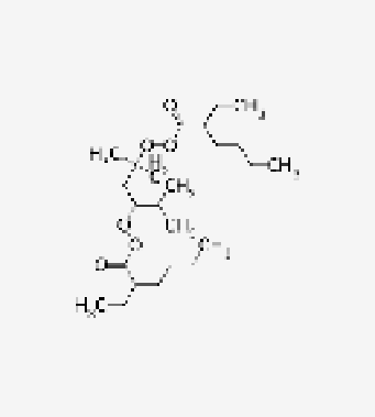 CCCCC(CC)C(=O)OOC(CC(C)(C)OOC(=O)C(CC)CCCC)C(C)C